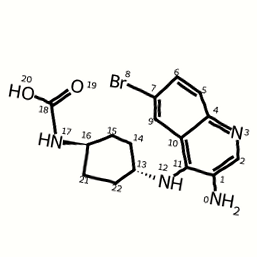 Nc1cnc2ccc(Br)cc2c1N[C@H]1CC[C@H](NC(=O)O)CC1